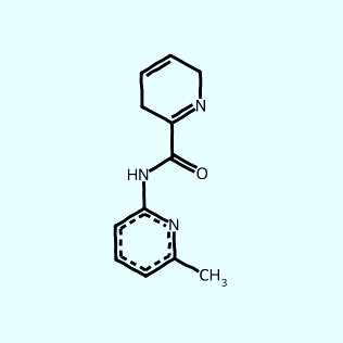 Cc1cccc(NC(=O)C2=NCC=CC2)n1